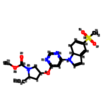 CCOC(=O)C1CC(Oc2cc(N3C=CC4=CC(S(C)(=O)=O)=CCC43)ncn2)CN1C(=O)OC(C)(C)C